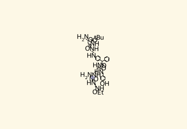 CCC(=O)NCCNC(=O)/N=C(/N)NCCC[C@@H](NC(=O)C(c1ccccc1)c1ccc(NCCNC(=O)[C@@H](CCCN)NC(=O)OC(C)(C)C)cc1)C(=O)NCc1ccc(O)cc1